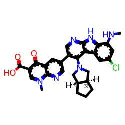 CNc1cc(Cl)cc2c1[nH]c1ncc(-c3cnc4c(c3)c(=O)c(C(=O)O)cn4C)c(N3C[C@H]4CCC[C@H]4C3)c12